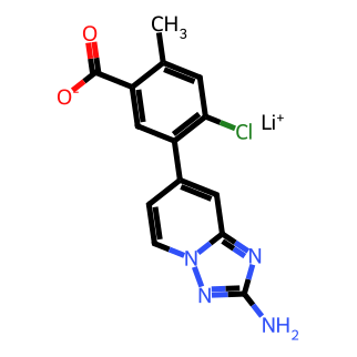 Cc1cc(Cl)c(-c2ccn3nc(N)nc3c2)cc1C(=O)[O-].[Li+]